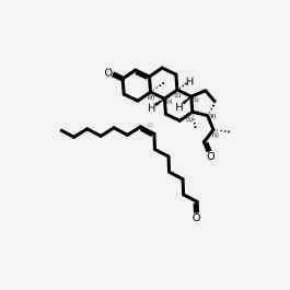 CCCCCC/C=C\CCCCCC=O.C[C@H](C=O)[C@H]1CC[C@H]2[C@@H]3CCC4=CC(=O)CC[C@]4(C)[C@H]3CC[C@]12C